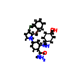 NC(=O)c1ccc(-n2cccc2Sc2ccccc2F)cc1N[C@H]1CC[C@H](O)CC1